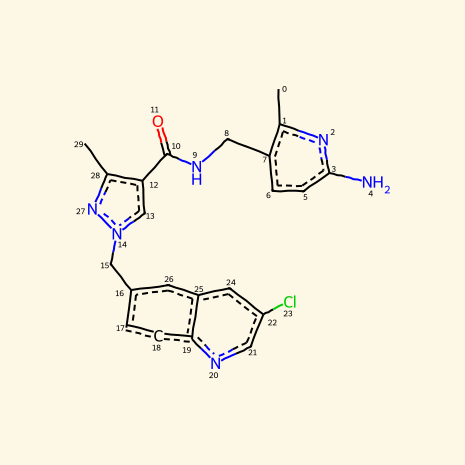 Cc1nc(N)ccc1CNC(=O)c1cn(Cc2ccc3ncc(Cl)cc3c2)nc1C